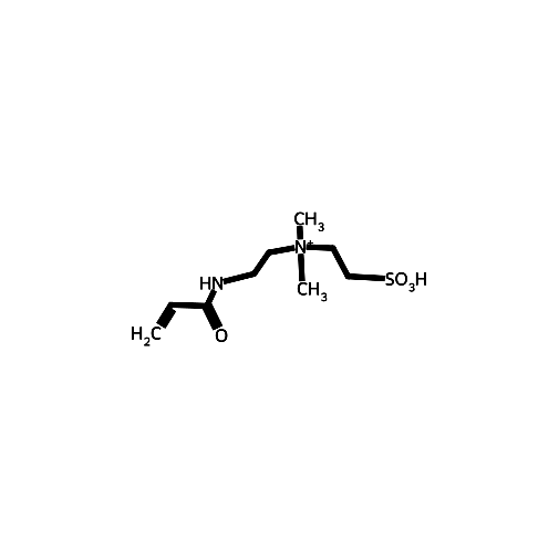 C=CC(=O)NCC[N+](C)(C)CCS(=O)(=O)O